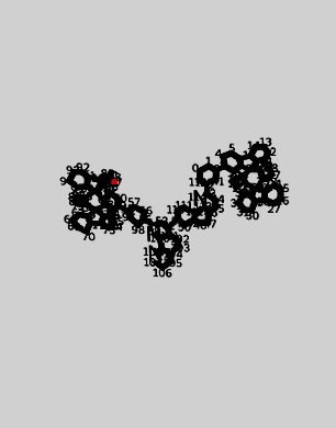 c1cc(-c2ccc3c(c2)C2(c4ccccc4-3)c3ccccc3C3(c4ccccc4-c4ccccc43)c3ccccc32)cc(-c2ccc3ccc4cc(-c5cc(-c6ccc(-c7ccc8c(c7)C7(c9ccccc9-c9ccccc97)c7ccccc7C87c8ccccc8-c8ccccc87)cc6)nc6c5ccc5cccnc56)ccc4c3n2)c1